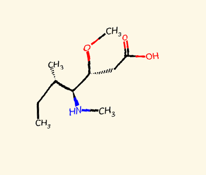 CC[C@H](C)[C@H](NC)[C@@H](CC(=O)O)OC